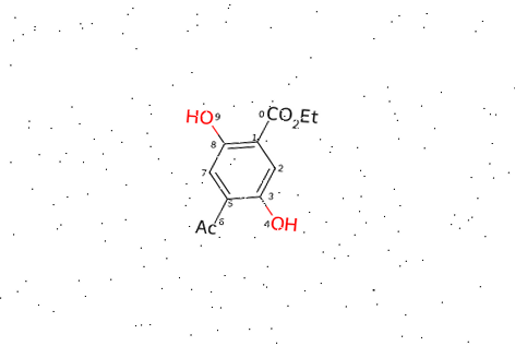 CCOC(=O)c1cc(O)c(C(C)=O)cc1O